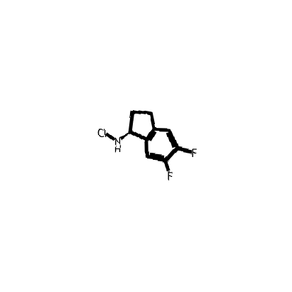 Fc1cc2c(cc1F)[C@@H](NCl)CC2